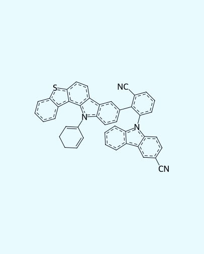 N#Cc1ccc2c(c1)c1ccccc1n2-c1cccc(C#N)c1-c1ccc2c(c1)c1ccc3sc4ccccc4c3c1n2C1=CCCC=C1